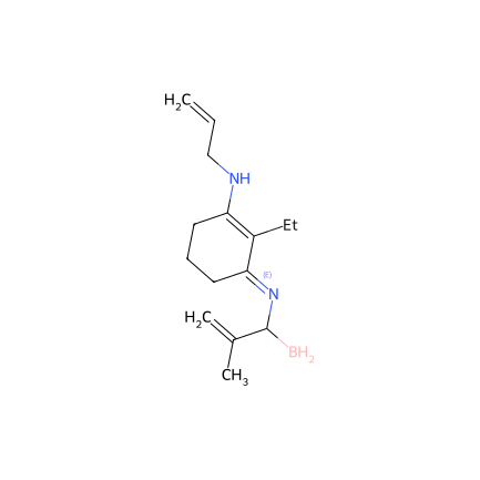 BC(/N=C1\CCCC(NCC=C)=C1CC)C(=C)C